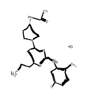 CCCc1cc(N2CC[C@H](NC(C)=O)C2)nc(Nc2cc(Cl)ccc2C)n1.Cl